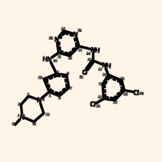 CN1CCN(c2cccc(Nc3cc(NC(=O)Nc4cc(Cl)cc(Cl)c4)ncn3)c2)CC1